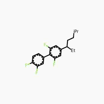 CCC(CCC(C)C)c1cc(F)c(-c2ccc(F)c(F)c2)c(F)c1